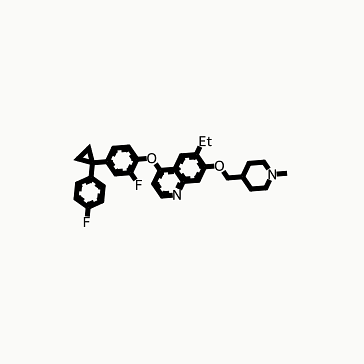 CCc1cc2c(Oc3ccc(C4(c5ccc(F)cc5)CC4)cc3F)ccnc2cc1OCC1CCN(C)CC1